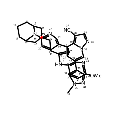 COc1ccc(NC(=O)CCC2CC3CCCC(C2)N3c2ccc(-c3cc(-c4cnn(C)c4)cn4ncc(C#N)c34)cn2)cn1